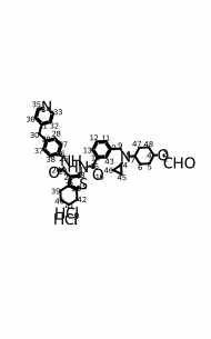 Cl.Cl.O=COC1CCC(N(Cc2cccc(C(=O)Nc3sc4c(c3C(=O)Nc3ccc(Cc5ccncc5)cc3)CCCC4)c2)C2CC2)CC1